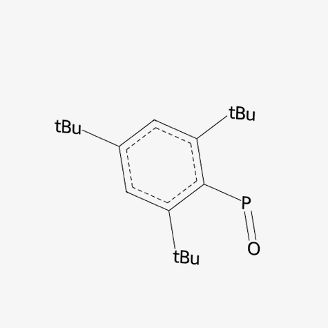 CC(C)(C)c1cc(C(C)(C)C)c(P=O)c(C(C)(C)C)c1